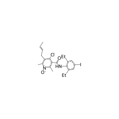 CC=CCc1c(Cl)c(C(=O)Nc2c(CC)cc(I)cc2CC)c(C)[n+]([O-])c1C